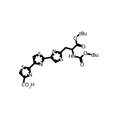 CC(C)(C)OC(=O)NC(Cc1nc(-c2nc(-c3nc(C(=O)O)cs3)cs2)cs1)C(=O)OC(C)(C)C